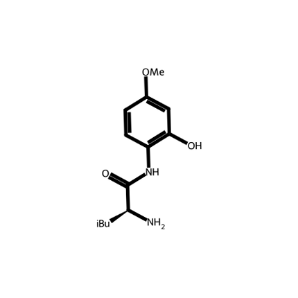 CCC(C)[C@H](N)C(=O)Nc1ccc(OC)cc1O